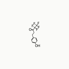 O=C(CCc1ccc(O)cc1)C(F)(F)C(F)(F)F